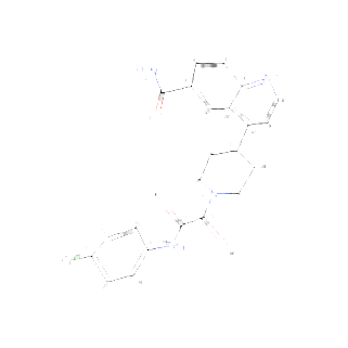 NC(=O)c1ccc2nccc(C3CCN(C(=O)C(=O)Nc4ccc(Cl)cc4)CC3)c2c1